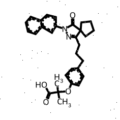 CC(C)(Oc1ccc(CCCC2=NN(c3ccc4ccccc4c3)C(=O)C23CCCC3)cc1)C(=O)O